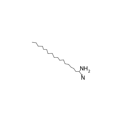 CCCCCCCCCCCCCCCCCC(N)C#N